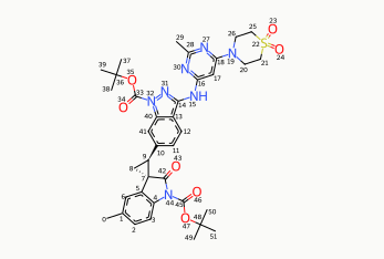 Cc1ccc2c(c1)[C@]1(C[C@H]1c1ccc3c(Nc4cc(N5CCS(=O)(=O)CC5)nc(C)n4)nn(C(=O)OC(C)(C)C)c3c1)C(=O)N2C(=O)OC(C)(C)C